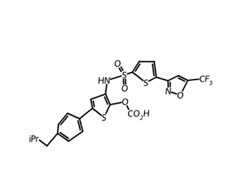 CC(C)Cc1ccc(-c2cc(NS(=O)(=O)c3ccc(-c4cc(C(F)(F)F)on4)s3)c(OC(=O)O)s2)cc1